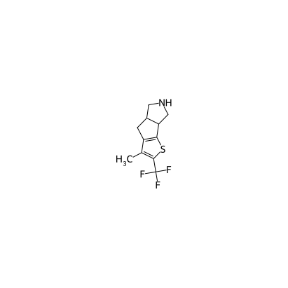 Cc1c(C(F)(F)F)sc2c1CC1CNCC21